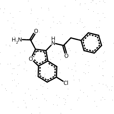 NC(=O)c1oc2ccc(Cl)cc2c1NC(=O)Cc1ccccc1